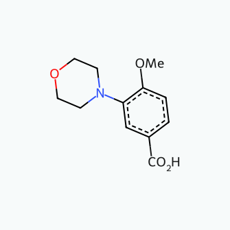 COc1ccc(C(=O)O)cc1N1CCOCC1